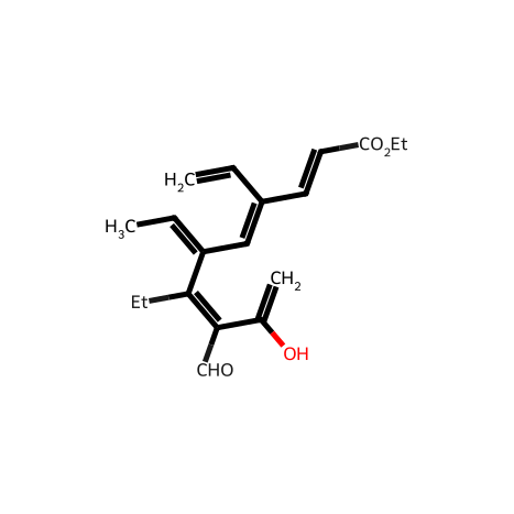 C=CC(/C=C/C(=O)OCC)=C\C(=C\C)C(\CC)=C(\C=O)C(=C)O